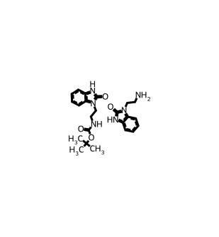 CC(C)(C)OC(=O)NCCn1c(=O)[nH]c2ccccc21.NCCn1c(=O)[nH]c2ccccc21